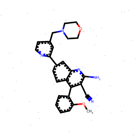 COc1ccccc1-c1c(C#N)c(N)nc2cc(-c3cc(CN4CCOCC4)ccn3)ccc12